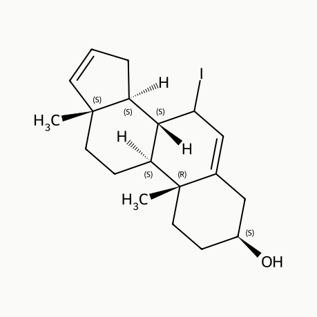 C[C@@]12C=CC[C@H]1[C@@H]1C(I)C=C3C[C@@H](O)CC[C@]3(C)[C@H]1CC2